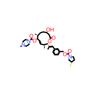 C/C(=C\c1cccc(COC(=O)N2CC[C@@H](F)C2)c1)[C@H]1OC(=O)C[C@H](O)CC[C@H](C)[C@H](OC(=O)N2CCN(C)CC2)/C=C/[C@@H]1C